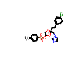 Cc1ccc(S(=O)(=O)OC2CO[C@](CCc3ccc(Cl)cc3)(Cn3ccnc3)O2)cc1